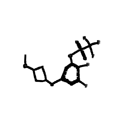 COC1CC(Oc2cc(F)c(F)c(OS(=O)(=O)C(F)(F)F)c2)C1